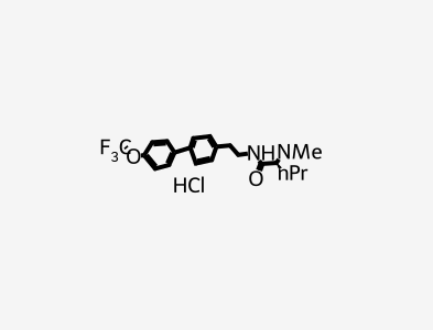 CCC[C@H](NC)C(=O)NCCc1ccc(-c2ccc(OC(F)(F)F)cc2)cc1.Cl